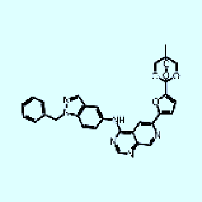 CC12COC(c3ccc(-c4cc5c(Nc6ccc7c(cnn7Cc7ccccc7)c6)ncnc5cn4)o3)(OC1)OC2